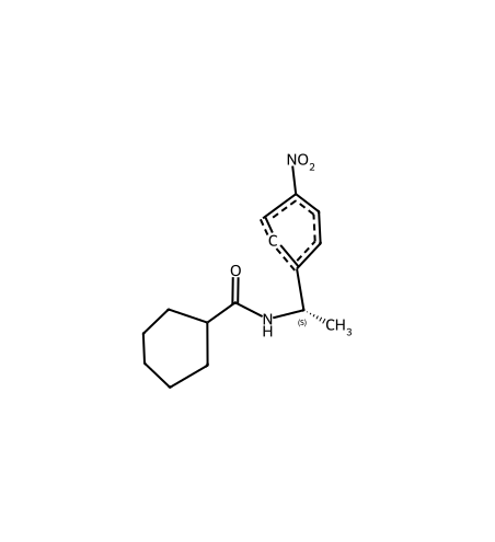 C[C@H](NC(=O)C1CCCCC1)c1ccc([N+](=O)[O-])cc1